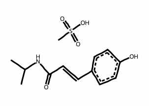 CC(C)NC(=O)C=Cc1ccc(O)cc1.CS(=O)(=O)O